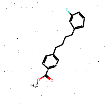 COC(=O)c1ccc(CCCCc2cccc(F)c2)cc1